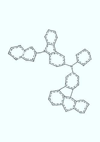 c1ccc(N(c2ccc3c(c2)-c2cccc4cc5ccccc5c-3c24)c2ccc3c(c2)c2ccccc2n3-c2ccc3ccccc3c2)cc1